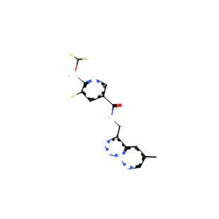 Cc1cnn2nnc(CNC(=O)c3cnc(OC(F)F)c(F)c3)c2c1